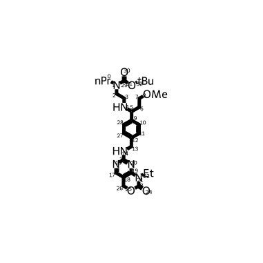 CCCN(CCNC(CCOC)c1ccc(CNc2ncc3c(n2)N(CC)C(=O)OC3)cc1)C(=O)OC(C)(C)C